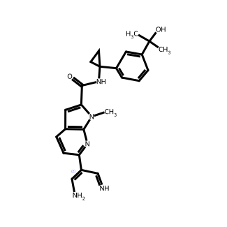 Cn1c(C(=O)NC2(c3cccc(C(C)(C)O)c3)CC2)cc2ccc(/C(C=N)=C/N)nc21